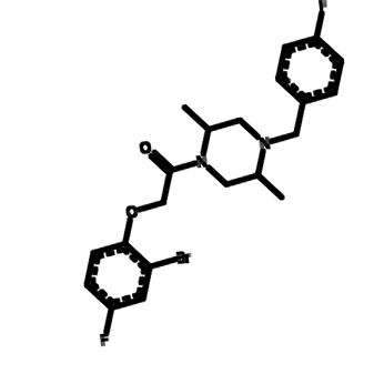 CC1CN(C(=O)COc2ccc(F)cc2Br)C(C)CN1Cc1ccc(F)cc1